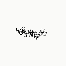 O=C1NOCC1NC(=S)c1cnc(N2CCC(c3ccc(Cl)c(Cl)c3)(C(F)(F)F)C2)nc1